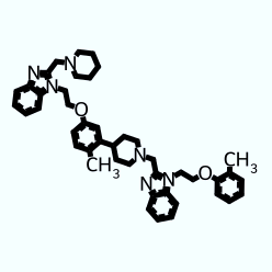 Cc1ccccc1OCCn1c(CN2CCC(c3cc(OCCn4c(CN5CCCCC5)nc5ccccc54)ccc3C)CC2)nc2ccccc21